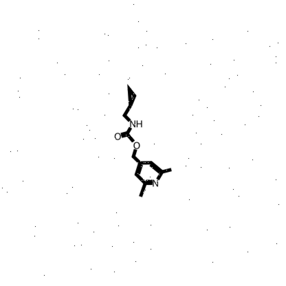 Cc1cc(COC(=O)NCC2CC2)cc(C)n1